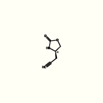 C#CC[C@@H]1COC(=O)N1